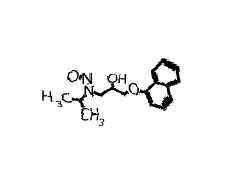 CC(C)N(CC(O)COc1cccc2ccccc12)N=O